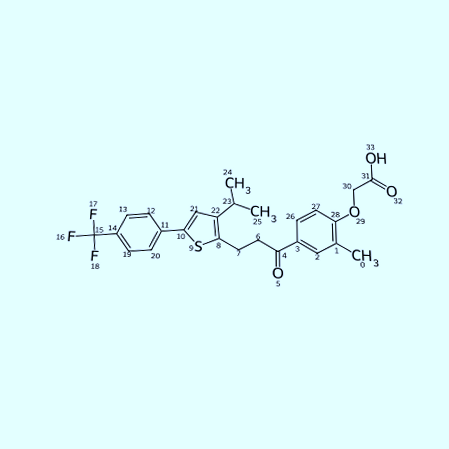 Cc1cc(C(=O)CCc2sc(-c3ccc(C(F)(F)F)cc3)cc2C(C)C)ccc1OCC(=O)O